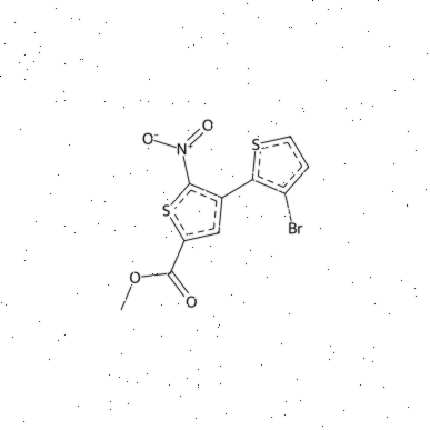 COC(=O)c1cc(-c2sccc2Br)c([N+](=O)[O-])s1